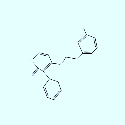 O=c1[nH]ccc(NCCc2cccc(Cl)c2)c1C1C=CC=CC1